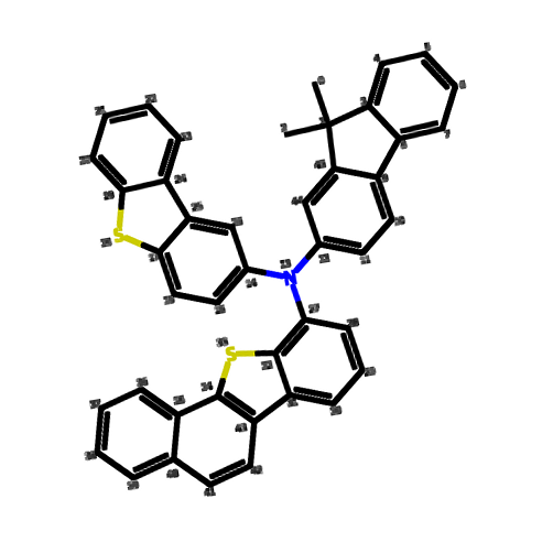 CC1(C)c2ccccc2-c2ccc(N(c3ccc4sc5ccccc5c4c3)c3cccc4c3sc3c5ccccc5ccc43)cc21